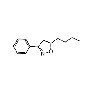 CCCCC1CC(c2ccccc2)=NO1